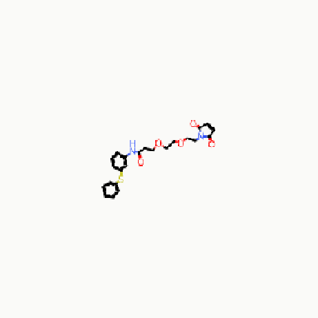 O=C(CCOCCOCCN1C(=O)C=CC1=O)Nc1cccc(Sc2ccccc2)c1